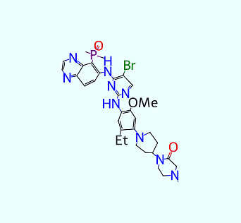 CCc1cc(Nc2ncc(Br)c(Nc3ccc4nccnc4c3P(C)(C)=O)n2)c(OC)cc1N1CCC(N2CCN(C)CC2=O)CC1